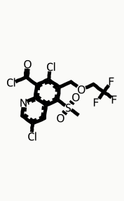 CS(=O)(=O)c1c(COCC(F)(F)F)c(Cl)c(C(=O)Cl)c2ncc(Cl)cc12